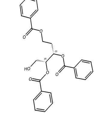 O=C(OCC[C@H](OC(=O)c1ccccc1)[C@@H](CO)OC(=O)c1ccccc1)c1ccccc1